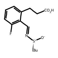 CC(C)(C)[S@@+]([O-])/N=C/c1c(F)cccc1CCC(=O)O